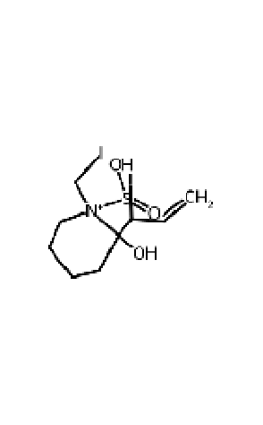 C=CC(I)C1(O)CCCC[N+]1(CI)S(=O)O